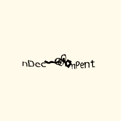 [CH2]CCCCCCCCCCCCCOOC(=O)c1ccc(CCCCC)cc1